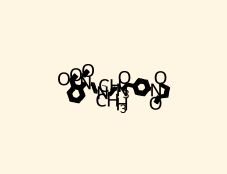 C[N+](C)(CCNC(=O)c1ccc(N2C(=O)C=CC2=O)cc1)CCn1c(=O)oc(=O)c2ccccc21